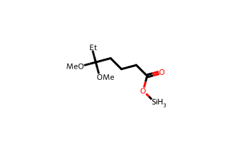 CCC(CCCC(=O)O[SiH3])(OC)OC